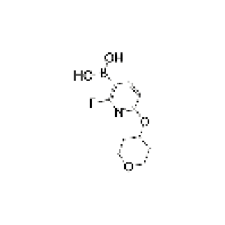 OB(O)c1ccc(OC2CCOCC2)nc1F